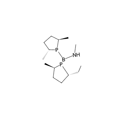 CC[C@@H]1CC[C@@H](C)P1B(NC)P1[C@H](C)CC[C@H]1C